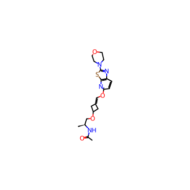 CC(=O)N[C@@H](C)COC1CC(=COc2ccc3nc(N4CCOCC4)sc3n2)C1